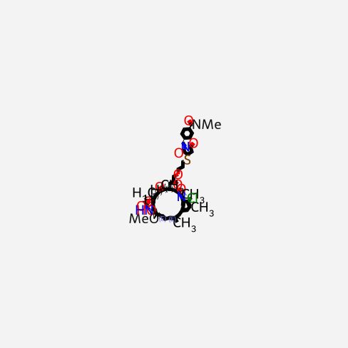 CNC(=O)[C@H]1CC[C@H](CN2C(=O)CC(SCCCOCC(=O)C[C@H]3CC(=O)N(C)c4cc(cc(C)c4Cl)C/C(C)=C/C=C/[C@@H](OC)[C@@]4(O)C[C@H](OC(=O)N4)[C@@H](C)[C@@H]4O[C@@]34C)C2=O)CC1